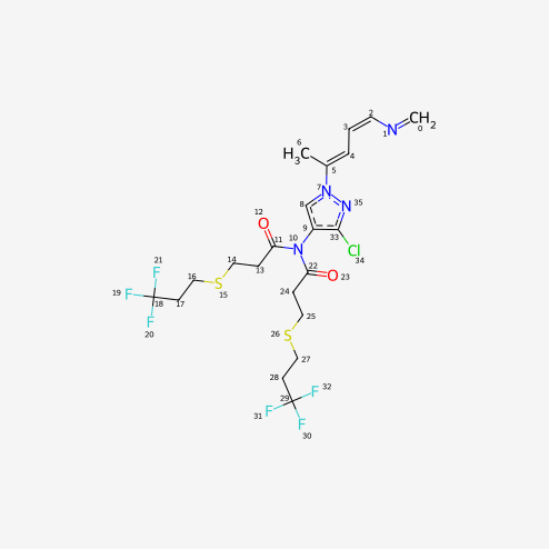 C=N/C=C\C=C(/C)n1cc(N(C(=O)CCSCCC(F)(F)F)C(=O)CCSCCC(F)(F)F)c(Cl)n1